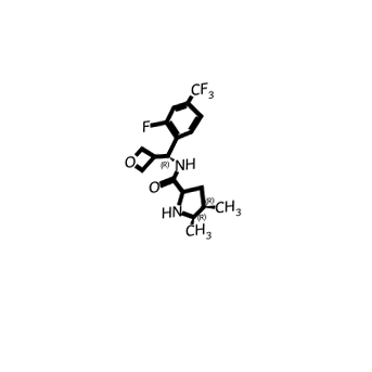 C[C@@H]1CC(C(=O)N[C@@H](c2ccc(C(F)(F)F)cc2F)C2COC2)N[C@@H]1C